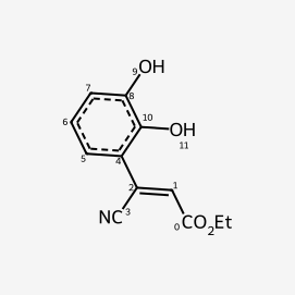 CCOC(=O)C=C(C#N)c1cccc(O)c1O